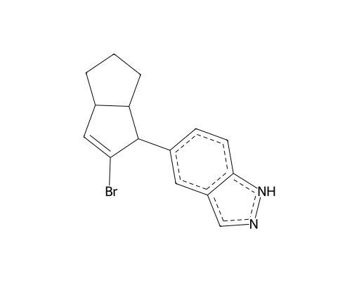 BrC1=CC2CCCC2C1c1ccc2[nH]ncc2c1